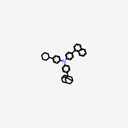 c1ccc2c(-c3ccc(N(c4ccc(C5CCCCC5)cc4)c4ccc(C56CC7CC(CC(C7)C5)C6)cc4)cc3)cccc2c1